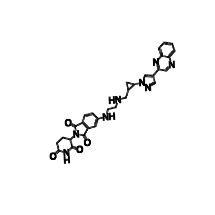 O=C1CCC(N2C(=O)c3ccc(NCCNCC4CC4n4cc(-c5cnc6ccccc6n5)cn4)cc3C2=O)C(=O)N1